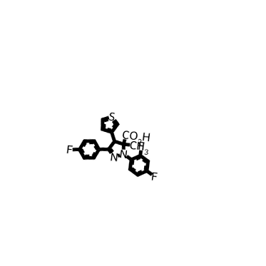 CC1(C(=O)O)C(c2ccsc2)C(c2ccc(F)cc2)=NN1c1ccc(F)cc1F